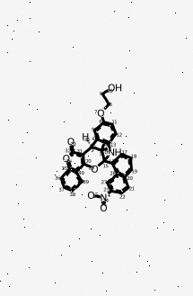 CC1(C)[C@@H]2c3cc(OCCO)ccc3NC1(c1cccc3ccc([N+](=O)[O-])cc13)Oc1c2c(=O)oc2ccccc12